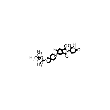 CC(C)(C)OC(=O)N1CCC2(CCN(c3cc4c(cc3F)C(=O)N(C3CCC(=O)NC3=O)C4=O)CC2)C1